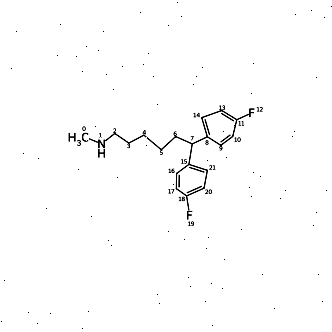 CNCCCCCC(c1ccc(F)cc1)c1ccc(F)cc1